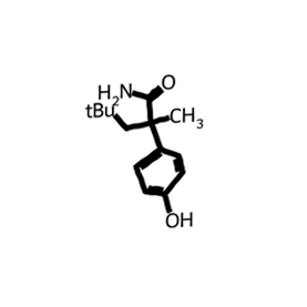 CC(C)(C)CC(C)(C(N)=O)c1ccc(O)cc1